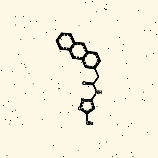 CC(C)(C)c1cc(NC(=O)Cc2ccc3cc4ccccc4cc3c2)no1